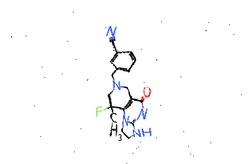 CC1(F)CN(Cc2cccc(C#N)c2)Cc2c1n1c(nc2=O)NCC1